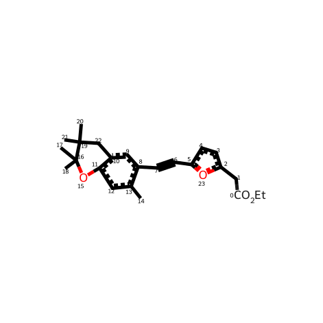 CCOC(=O)Cc1ccc(C#Cc2cc3c(cc2C)OC(C)(C)C(C)(C)C3)o1